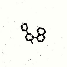 Cc1ccc(-c2ccncc2)nc1-c1cccc2ccccc12